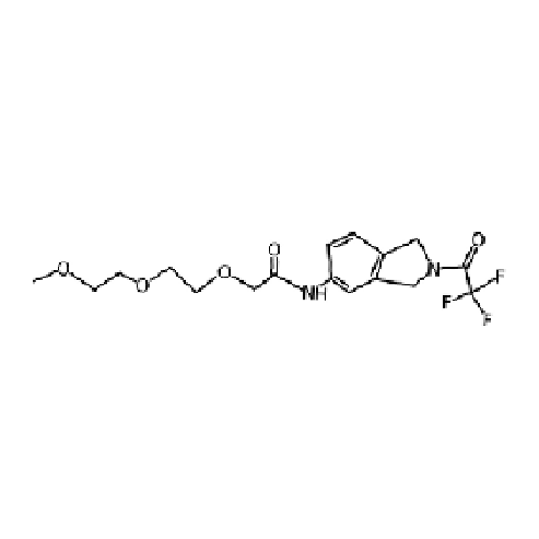 COCCOCCOCC(=O)Nc1ccc2c(c1)CN(C(=O)C(F)(F)F)C2